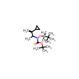 C=C(C1CC1)C(C)N(O[Si](C)(C)C(C)(C)C)C(=O)OC(C)(C)C